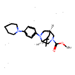 CC(C)(C)OC(=O)N1C[C@@H]2CN(c3ccc(N4CCCCC4)cc3)[C@H](C1)C(C)(C)C2